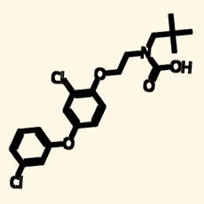 CC(C)(C)CN(CCOc1ccc(Oc2cccc(Cl)c2)cc1Cl)C(=O)O